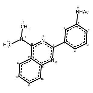 CC(=O)Nc1cccc(-c2nc(N(C)C)c3ccccc3n2)c1